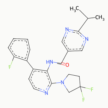 CC(C)c1ncc(C(=O)Nc2c(-c3ccccc3F)ccnc2N2CCC(F)(F)C2)cn1